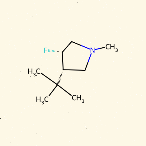 CN1C[C@@H](F)[C@@H](C(C)(C)C)C1